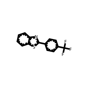 FC(F)(F)c1ccc(-c2nc3ccccc3s2)cc1